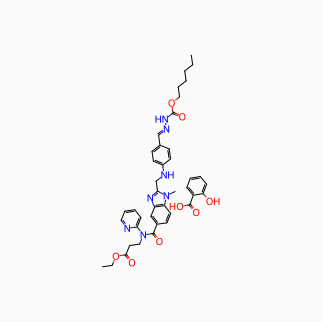 CCCCCCOC(=O)NN=Cc1ccc(NCc2nc3cc(C(=O)N(CCC(=O)OCC)c4ccccn4)ccc3n2C)cc1.O=C(O)c1ccccc1O